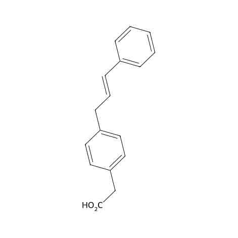 O=C(O)Cc1ccc(CC=Cc2ccccc2)cc1